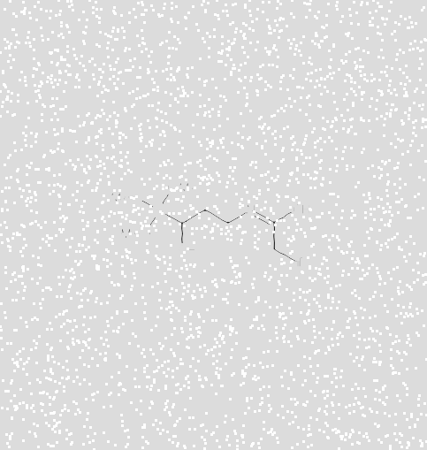 CO[Si](OC)(OC)C(C)CCN=C(C)CC(C)C